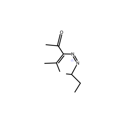 CCC(C)/N=N\C(C(C)=O)=C(C)C